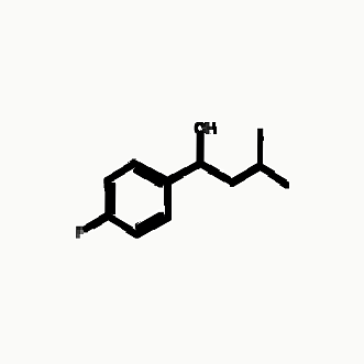 CC(C)CC(O)c1ccc(F)cc1